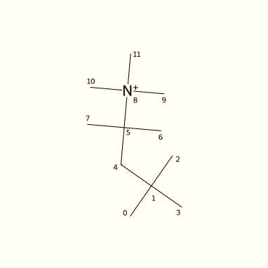 CC(C)(C)CC(C)(C)[N+](C)(C)C